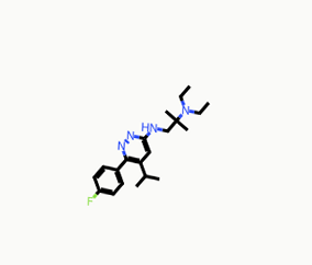 CCN(CC)C(C)(C)CNc1cc(C(C)C)c(-c2ccc(F)cc2)nn1